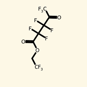 O=C(OCC(F)(F)F)C(F)(F)C(F)(F)C(=O)C(F)(F)F